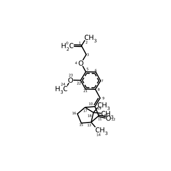 C=C(C)COc1ccc(C=C2C(=O)C3(C)CCC2C3(C)C)cc1OC